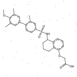 COc1c(C)cc(-c2ccc(S(=O)(=O)NC3CCCc4c(OCC(=O)O)cccc43)cc2C)cc1C